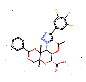 CC(=O)O[C@@H]1[C@@H](n2cc(-c3cc(F)c(Br)c(F)c3)nn2)[C@H]2OC(c3ccccc3)OC[C@H]2O[C@H]1C(=O)O